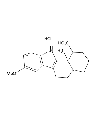 COc1ccc2[nH]c3c(c2c1)CCN1CCCC(C(=O)O)C31C.Cl